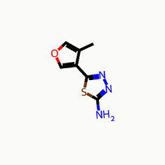 Cc1cocc1-c1nnc(N)s1